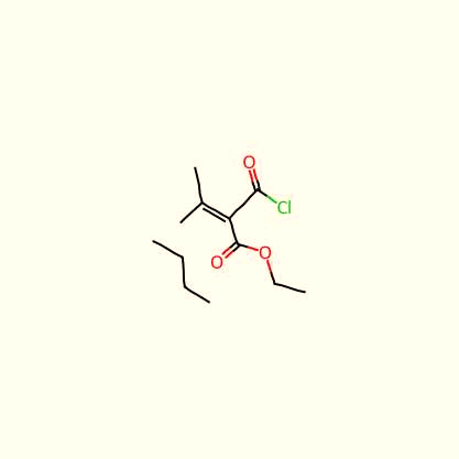 CCCC.CCOC(=O)C(C(=O)Cl)=C(C)C